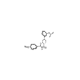 CC[C@@H](NC(=O)c1ccc(OC)nc1)[C@H]1CC[C@H](c2cc(OC(F)F)ccn2)CC1